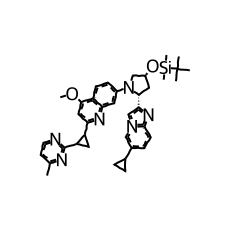 COc1cc(C2CC2c2nccc(C)n2)nc2cc(N3C[C@@H](O[Si](C)(C)C(C)(C)C)C[C@@H]3c3cn4cc(C5CC5)ccc4n3)ccc12